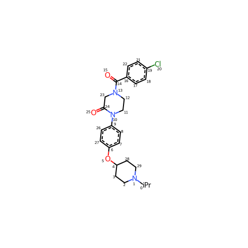 CC(C)N1CCC(Oc2ccc(N3CCN(C(=O)c4ccc(Cl)cc4)CC3=O)cc2)CC1